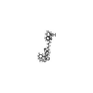 O=C(O)[C@@H](c1ccccc1)N1CC[C@@](F)(CCCCCc2ccc3c(n2)NCCC3)C1